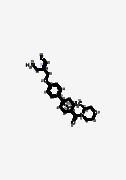 C[C@H]1COCCN1C(=O)C12CCC(c3ccc(OC/C(=C/F)CN)cc3)(CC1)CC2